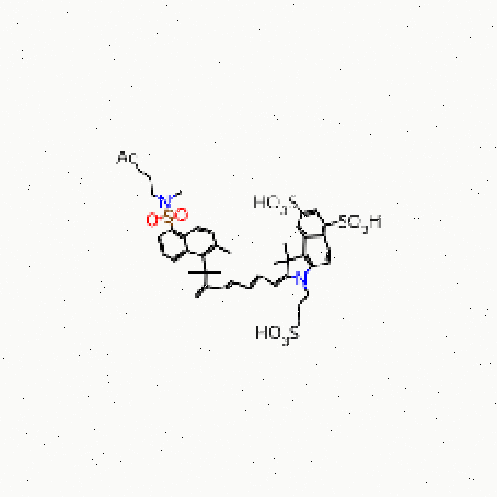 C=C(/C=C/C=C/C=C1/N(CCCS(=O)(=O)O)c2ccc3c(S(=O)(=O)O)cc(S(=O)(=O)O)cc3c2C1(C)C)C(C)(C)c1c(C)ccc2c(S(=O)(=O)N(C)CCCC(C)=O)cccc12